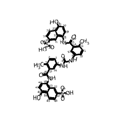 Cc1ccc(NC(=O)Nc2ccc(C)c(C(=O)Nc3ccc(O)c4ccc(S(=O)(=O)O)cc34)c2)cc1C(=O)Nc1ccc(O)c2ccc(S(=O)(=O)O)cc12